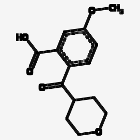 COc1ccc(C(=O)C2CCOCC2)c(C(=O)O)c1